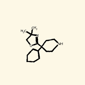 CC1(C)COC(C2(C3CCCCC3)CCNCC2)=N1